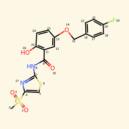 CS(=O)(=O)c1csc(NC(=O)c2cc(OCc3ccc(F)cc3)ccc2O)n1